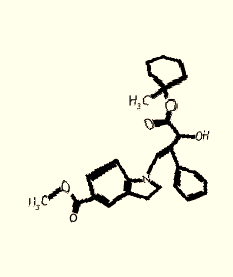 COC(=O)c1ccc2c(c1)CCN2/C=C(\c1ccccc1)C(O)C(=O)OC1(C)CCCCC1